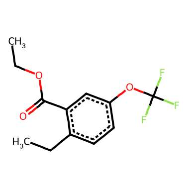 CCOC(=O)c1cc(OC(F)(F)F)ccc1CC